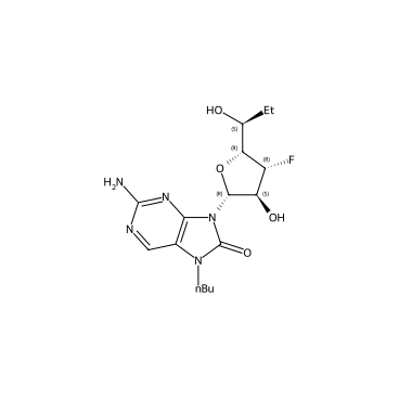 CCCCn1c(=O)n([C@@H]2O[C@H]([C@@H](O)CC)[C@H](F)[C@H]2O)c2nc(N)ncc21